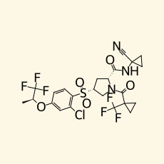 C[C@H](Oc1ccc(S(=O)(=O)[C@@H]2C[C@H](C(=O)NC3(C#N)CC3)N(C(=O)C3(C(F)(F)F)CC3)C2)c(Cl)c1)C(F)(F)F